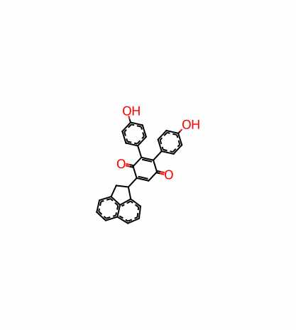 O=C1C=C(C2Cc3cccc4cccc2c34)C(=O)C(c2ccc(O)cc2)=C1c1ccc(O)cc1